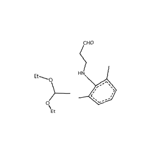 CCOC(C)OCC.Cc1cccc(C)c1NCCC=O